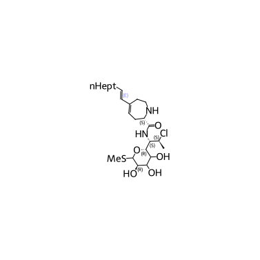 CCCCCCC/C=C/C1=CC[C@@H](C(=O)N[C@H]([C@H](C)Cl)[C@H]2OC(SC)[C@H](O)C(O)C2O)NCC1